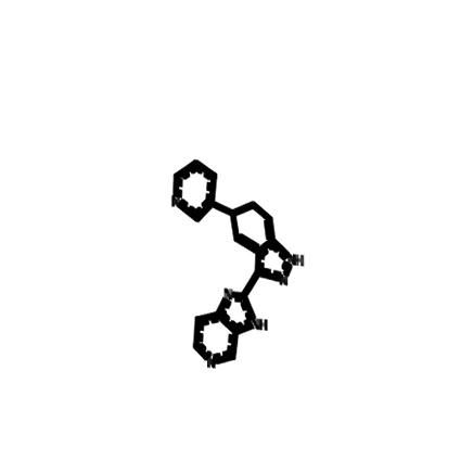 C1=c2[nH]nc(-c3nc4ccncc4[nH]3)c2=CC(c2cccnc2)C1